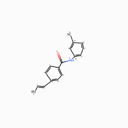 CC(C)(C)/C=C/c1ccc(C(=O)Nc2cccc(C#N)c2)cc1